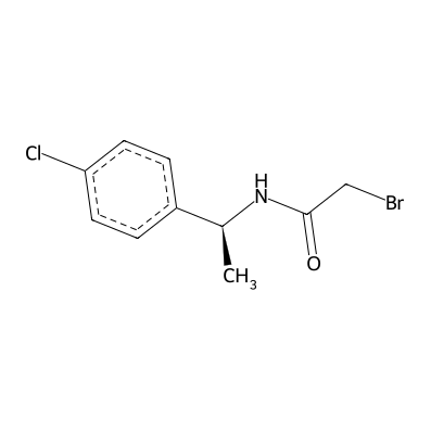 C[C@H](NC(=O)CBr)c1ccc(Cl)cc1